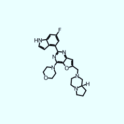 Fc1cc(-c2nc(N3CCOCC3)c3oc(CN4CCN5CCC[C@H]5C4)cc3n2)c2cc[nH]c2c1